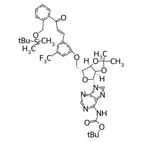 CC(C)(C)OC(=O)Nc1ncnc2c1ncn2[C@@H]1O[C@H](COc2cc(/C=C/C(=O)c3ccccc3CO[Si](C)(C)C(C)(C)C)cc(C(F)(F)F)c2)[C@H]2OC(C)(C)O[C@H]21